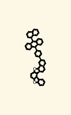 c1ccc2c(-c3c4ccccc4c(-c4ccc(-c5ccc6ccc7c(oc8ccc9oc%10ccccc%10c9c87)c6c5)cc4)c4ccccc34)cccc2c1